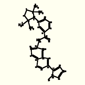 BC1(B)CCC(B)(B)N1c1cc(C(=O)Nc2ncc3ccc(-c4cncn4C)cc3n2)ccn1